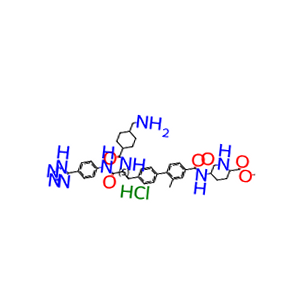 COC(=O)C1CCC(NC(=O)c2ccc(-c3ccc(C[C@H](NC(=O)C4CCC(CN)CC4)C(=O)Nc4ccc(-c5nnn[nH]5)cc4)cc3)c(C)c2)C(=O)N1.Cl